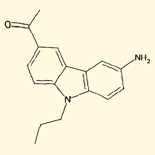 CCCn1c2ccc(N)cc2c2cc(C(C)=O)ccc21